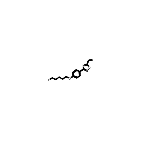 CCc1nc(-c2ccc(OCCCCCF)cc2)no1